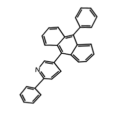 c1ccc(-c2ccc(-c3c4ccccc4c(-c4ccccc4)c4ccccc34)cn2)cc1